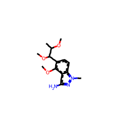 COc1c(C(OC)C(C)OC)ccc2c1c(N)nn2C